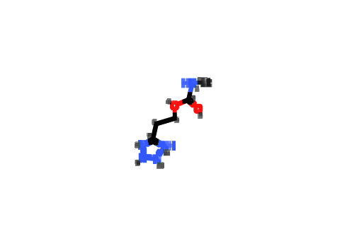 CCNC(=O)OCCc1nnn[nH]1